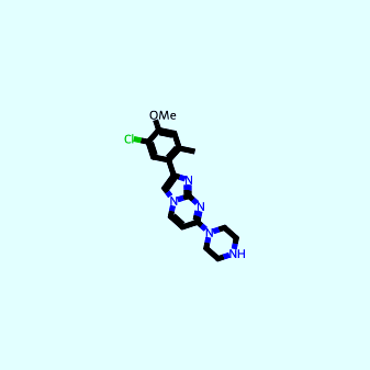 COc1cc(C)c(-c2cn3ccc(N4CCNCC4)nc3n2)cc1Cl